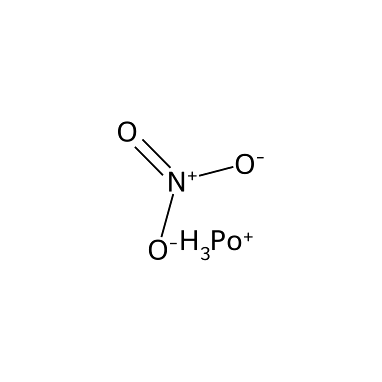 O=[N+]([O-])[O-].[PoH3+]